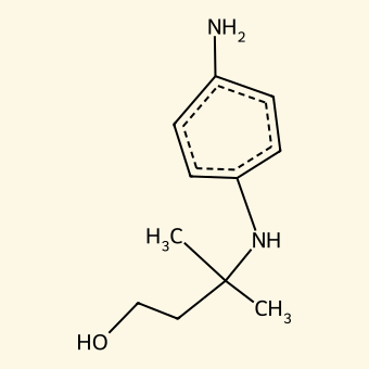 CC(C)(CCO)Nc1ccc(N)cc1